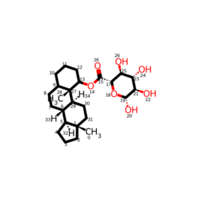 C[C@@]12CCC[C@H]1[C@@H]1CCC3CCCC(OC(=O)[C@H]4O[C@@H](O)[C@H](O)[C@@H](O)[C@@H]4O)[C@]3(C)[C@H]1CC2